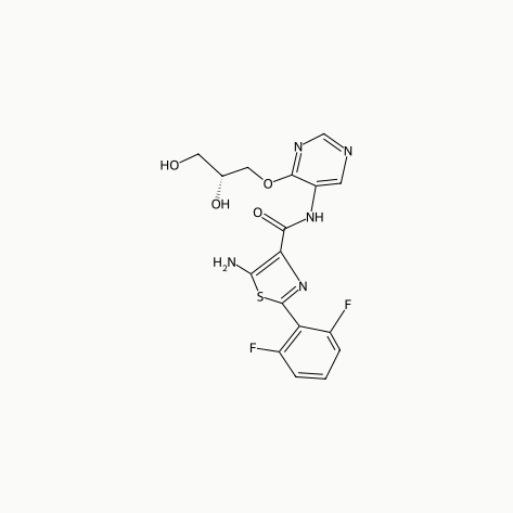 Nc1sc(-c2c(F)cccc2F)nc1C(=O)Nc1cncnc1OC[C@H](O)CO